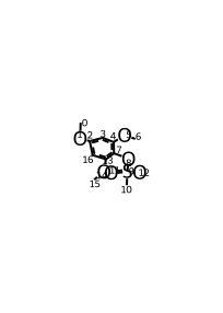 COc1cc(OC)c(OS(C)(=O)=O)c(OC)c1